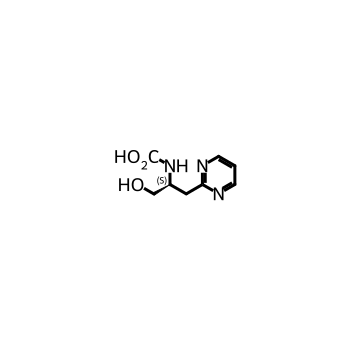 O=C(O)N[C@H](CO)Cc1ncccn1